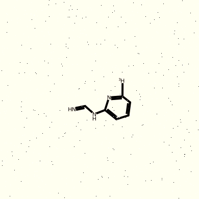 [3H]c1cccc(NC=N)n1